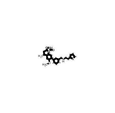 COc1cc2c(C)cc3n[nH]c(=O)n3c2cc1-c1cccc(CNCCc2cccs2)c1